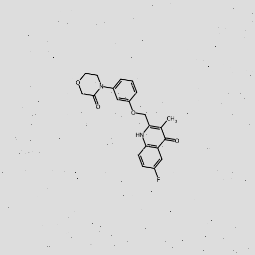 Cc1c(COc2cccc(N3CCOCC3=O)c2)[nH]c2ccc(F)cc2c1=O